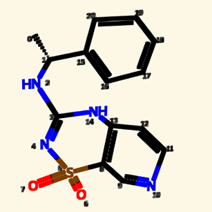 C[C@@H](NC1=NS(=O)(=O)c2cnccc2N1)c1ccccc1